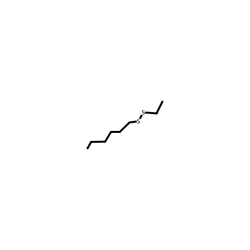 C[CH]SSCCCCCC